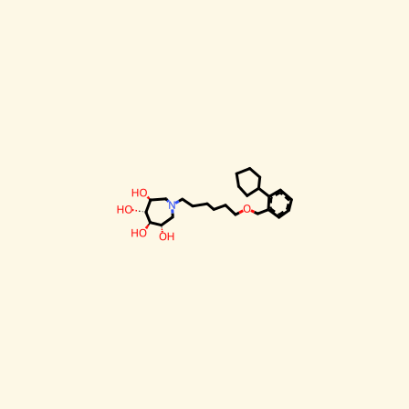 O[C@H]1[C@H](O)[C@@H](O)CN(CCCCCCOCc2ccccc2C2CCCCC2)C[C@@H]1O